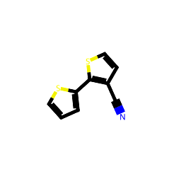 N#Cc1ccsc1-c1cccs1